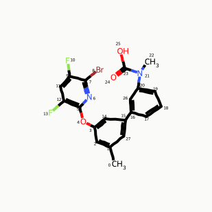 Cc1cc(Oc2nc(Br)c(F)cc2F)cc(-c2cccc(N(C)C(=O)O)c2)c1